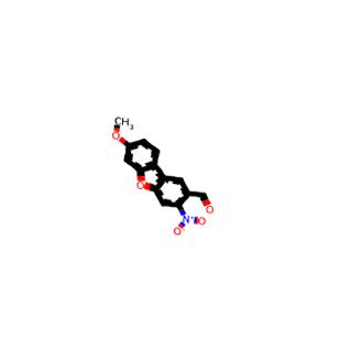 COc1ccc2c(c1)oc1cc([N+](=O)[O-])c(C=O)cc12